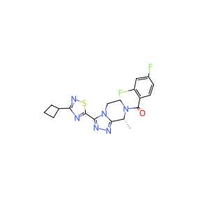 C[C@@H]1c2nnc(-c3nc(C4CCC4)ns3)n2CCN1C(=O)c1ccc(F)cc1F